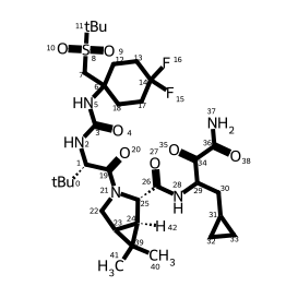 CC(C)(C)[C@H](NC(=O)NC1(CS(=O)(=O)C(C)(C)C)CCC(F)(F)CC1)C(=O)N1CC2[C@@H]([C@H]1C(=O)NC(CC1CC1)C(=O)C(N)=O)C2(C)C